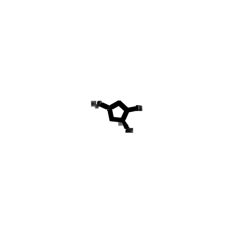 CCC1CN(C)C[C@@H]1C(C)=O